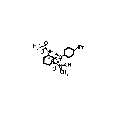 CC(C)[C@H]1CC[C@@H](OC[C@H]2[C@@H](NS(C)(=O)=O)CCCN2S(=O)(=O)N(C)C)CC1